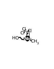 Cn1cc[n+](CCO)c1.[Cl][Fe-]([Cl])([Cl])[Cl]